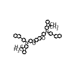 CC1(C)c2ccccc2-c2ccc(N(c3ccc(-c4ccc5ccccc5c4)cc3)c3ccc4c(c3)oc3cc5cc6oc7cc(N(c8ccc(-c9ccc%10ccccc%10c9)cc8)c8ccc9c(c8)C(C)(C)c8ccccc8-9)ccc7c6cc5cc34)cc21